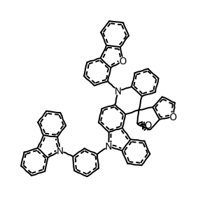 c1cc(-n2c3ccccc3c3ccccc32)cc(-n2c3ccccc3c3c4c(ccc32)N(c2cccc3c2oc2ccccc23)c2ccccc2C42c3ccoc3-c3occc32)c1